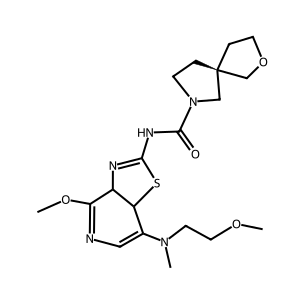 COCCN(C)C1=CN=C(OC)C2N=C(NC(=O)N3CC[C@]4(CCOC4)C3)SC12